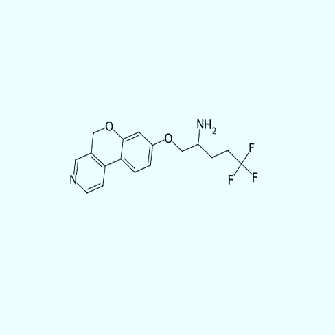 NC(CCC(F)(F)F)COc1ccc2c(c1)OCc1cnccc1-2